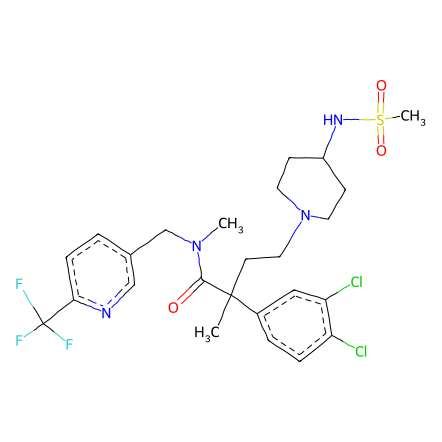 CN(Cc1ccc(C(F)(F)F)nc1)C(=O)C(C)(CCN1CCC(NS(C)(=O)=O)CC1)c1ccc(Cl)c(Cl)c1